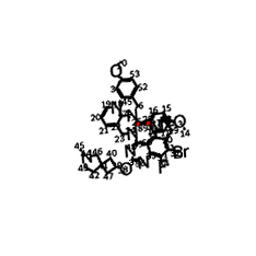 COc1ccc(CN(Cc2ccc(OC)cc2)c2ncccc2Cn2ccn3ncc4c(Br)c(F)c5nc(OC6CC7(CCN(C)C7)C6)nc2c5c43)cc1